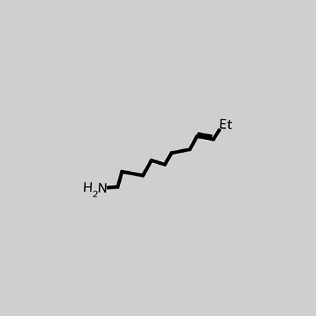 CCC=CCCCCCCCN